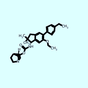 CCOc1cc2c(cc1-c1ccc(CC)cc1)CC(C)(C)[C@H]2NC(=O)O[C@@H]1CN2CCC1CC2